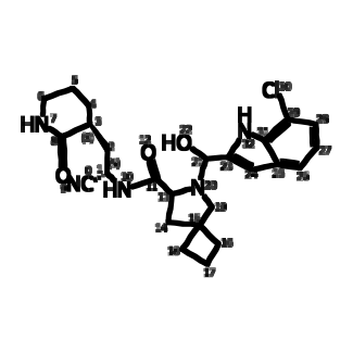 N#C[C@H](C[C@@H]1CCCNC1=O)NC(=O)C1CC2(CCC2)CN1C(O)c1cc2cccc(Cl)c2[nH]1